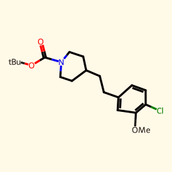 COc1cc(CCC2CCN(C(=O)OC(C)(C)C)CC2)ccc1Cl